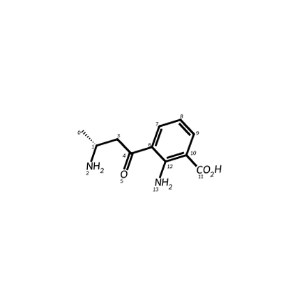 C[C@@H](N)CC(=O)c1cccc(C(=O)O)c1N